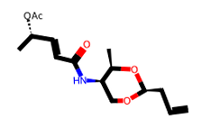 C=CC[C@H]1OC[C@@H](NC(=O)C=C[C@H](C)OC(C)=O)[C@@H](C)O1